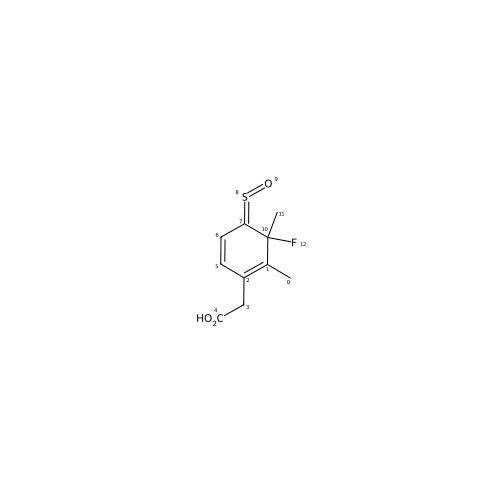 CC1=C(CC(=O)O)C=CC(=S=O)C1(C)F